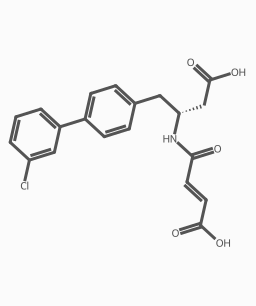 O=C(O)/C=C/C(=O)N[C@@H](CC(=O)O)Cc1ccc(-c2cccc(Cl)c2)cc1